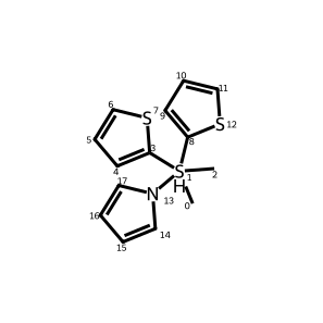 C[SH](C)(c1cccs1)(c1cccs1)n1cccc1